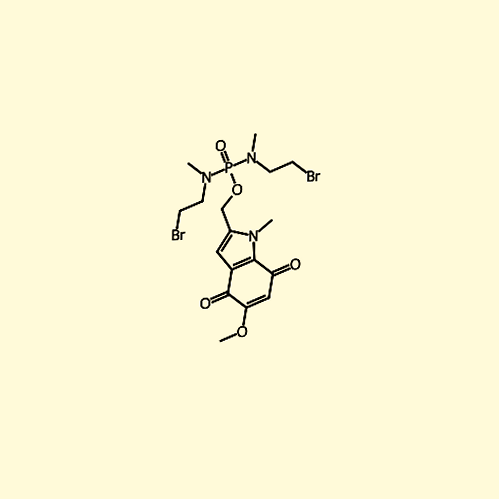 COC1=CC(=O)c2c(cc(COP(=O)(N(C)CCBr)N(C)CCBr)n2C)C1=O